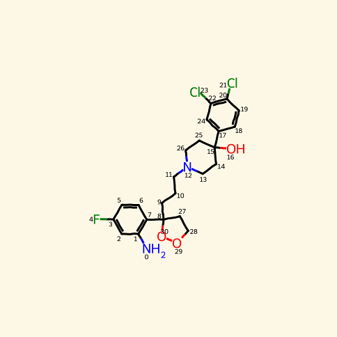 Nc1cc(F)ccc1C1(CCCN2CCC(O)(c3ccc(Cl)c(Cl)c3)CC2)CCOO1